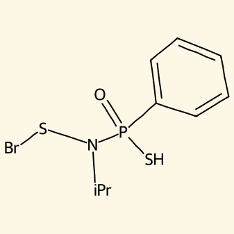 CC(C)N(SBr)P(=O)(S)c1ccccc1